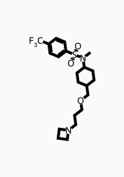 CN(C1CCC(COCCCN2CCC2)CC1)S(=O)(=O)c1ccc(C(F)(F)F)cc1